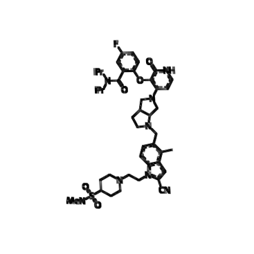 CNS(=O)(=O)C1CCN(CCn2c(C#N)cc3c(C)c(CN4CCC5CN(c6cc[nH]c(=O)c6Oc6ccc(F)cc6C(=O)N(C(C)C)C(C)C)CC54)ccc32)CC1